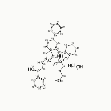 Cl.Cl.O=C(NS(=O)(=O)CCCO)C1(CCNC[C@H](O)c2cccnc2)C=CC(c2ccccc2)C=C1OC1CCCCC1